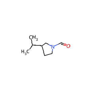 CC(C)C1CCN(C=O)C1